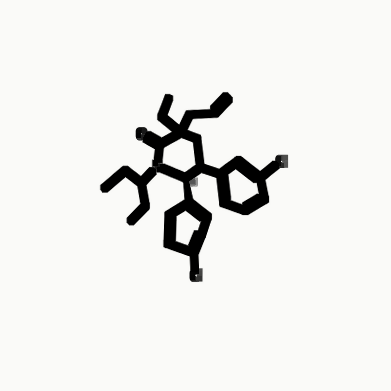 C=CCC1(CC)CC(c2cccc(Cl)c2)[C@@H](c2ccc(Cl)cc2)N(C(CC)CC)C1=O